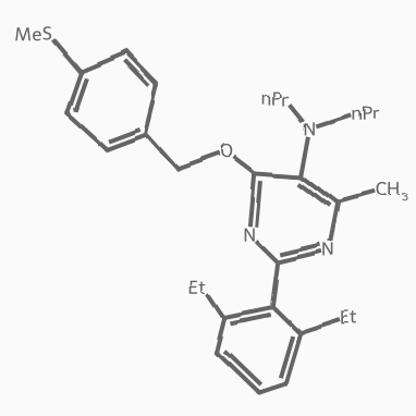 CCCN(CCC)c1c(C)nc(-c2c(CC)cccc2CC)nc1OCc1ccc(SC)cc1